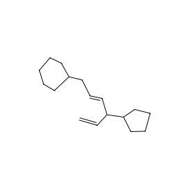 C=CC(C=CCC1CCCCC1)C1CCCC1